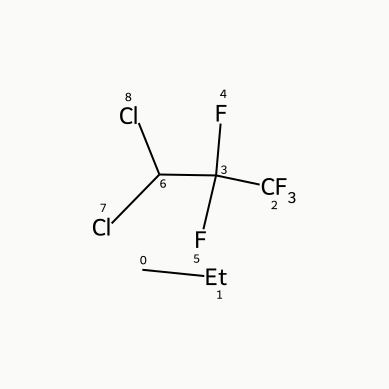 CCC.FC(F)(F)C(F)(F)C(Cl)Cl